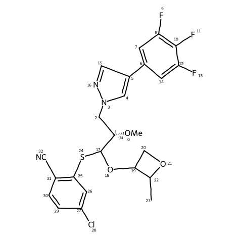 CO[C@@H](Cn1cc(-c2cc(F)c(F)c(F)c2)cn1)C(OC1COC1C)Sc1cc(Cl)ccc1C#N